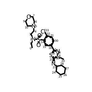 CCN(CCN1CCOCC1)S(=O)(=O)c1cc(-c2nn(C)/c(=N\C3CCCCC3)s2)ccc1Cl